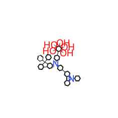 Oc1c(O)c(O)c(-c2ccc(N(c3ccc(-c4ccc5c(c4)c4ccccc4n5-c4ccccc4)cc3)c3ccc4c(c3)C(c3ccccc3)(C3C=CC=CC3)c3ccccc3-4)cc2)c(O)c1O